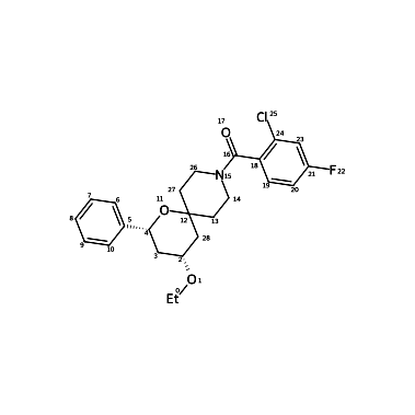 CCO[C@@H]1C[C@H](c2ccccc2)OC2(CCN(C(=O)c3ccc(F)cc3Cl)CC2)C1